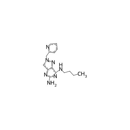 CCCCNc1nc(N)nc2cn(Cc3ccccn3)nc12